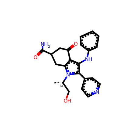 C[C@@H](CO)n1c2c(c(Nc3ccccc3)c1-c1ccncc1)C(=O)CC(C(N)=O)C2